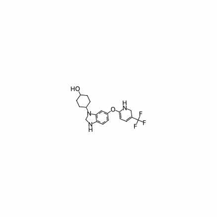 OC1CCC(N2CNc3ccc(OC4=CC=C(C(F)(F)F)CN4)cc32)CC1